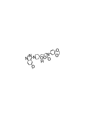 COc1ccc2ncnc(N3CCC(O)(CC4CN(c5ccc6c(c5)OCCO6)C(=O)O4)CC3)c2c1